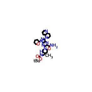 CC1(CNC(=O)OC(C)(C)C)CCN(c2nc3c(nc2C(N)=O)c(N2CCCc4ncccc42)nn3C2CCCCO2)CC1